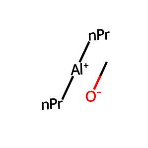 CC[CH2][Al+][CH2]CC.C[O-]